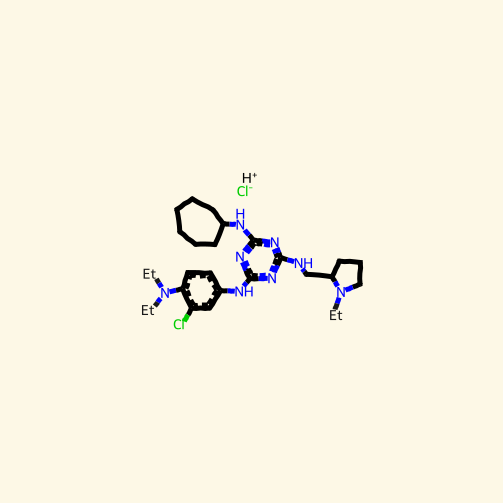 CCN(CC)c1ccc(Nc2nc(NCC3CCCN3CC)nc(NC3CCCCCC3)n2)cc1Cl.[Cl-].[H+]